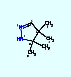 CC1(C)C=NNC1(C)C